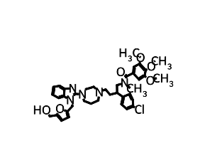 COc1cc(C(=O)N(C)CC(CCN2CCCN(c3nc4ccccc4n3Cc3ccc(CO)o3)CC2)c2ccc(Cl)cc2)cc(OC)c1OC